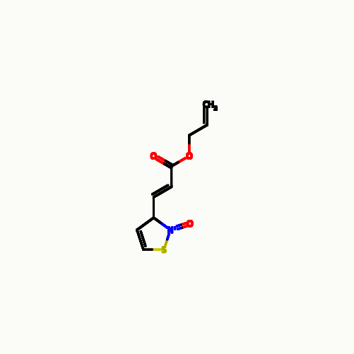 C=CCOC(=O)C=CC1C=CS[N+]1=O